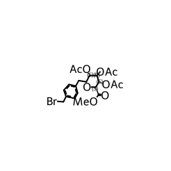 COC(=O)[C@H]1OC(Cc2ccc(CBr)cc2)[C@H](OC(C)=O)[C@@H](OC(C)=O)[C@@H]1OC(C)=O